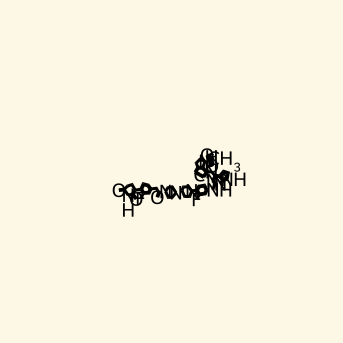 CS(=O)(=O)N1CCc2cccc(Nc3nc(Nc4ccc(N5CCC(N6CCN(C(=O)Cc7ccc(C8CCC(=O)NC8=O)c(F)c7)CC6)CC5)c(F)c4)nc4[nH]ccc34)c21